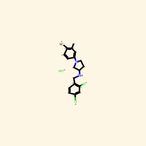 Cc1cc(N2CCC(NCc3ccc(Cl)cc3Cl)C2)ccc1C#N.Cl